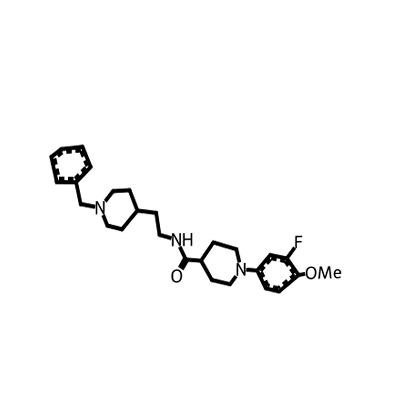 COc1ccc(N2CCC(C(=O)NCCC3CCN(Cc4ccccc4)CC3)CC2)cc1F